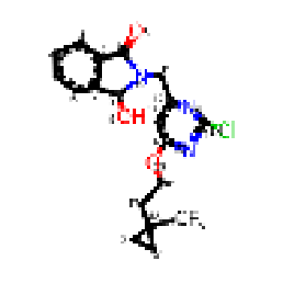 O=C1c2ccccc2C(O)N1Cc1cc(OCCC2(C(F)(F)F)CC2)nc(Cl)n1